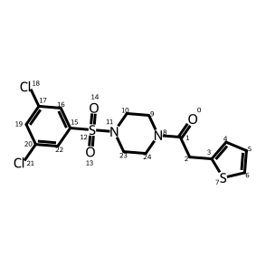 O=C(Cc1cccs1)N1CCN(S(=O)(=O)c2cc(Cl)cc(Cl)c2)CC1